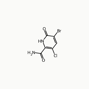 NC(=O)c1[nH]c(=O)c(Br)cc1Cl